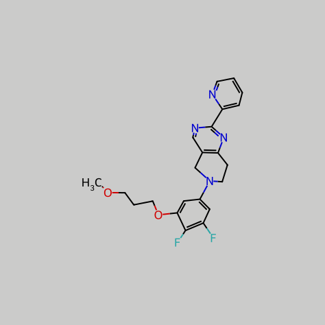 COCCCOc1cc(N2CCc3nc(-c4ccccn4)ncc3C2)cc(F)c1F